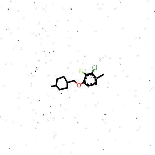 Cc1ccc(OCC2CCC(C)CC2)c(F)c1Cl